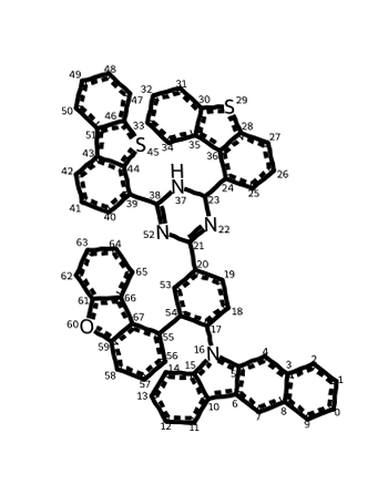 c1ccc2cc3c(cc2c1)c1ccccc1n3-c1ccc(C2=NC(c3cccc4sc5ccccc5c34)NC(c3cccc4c3sc3ccccc34)=N2)cc1-c1cccc2oc3ccccc3c12